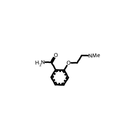 CNCCOc1ccccc1C(N)=O